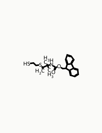 C=C(SCCS)C(C)(C)NC(=O)OCC1c2ccccc2-c2ccccc21